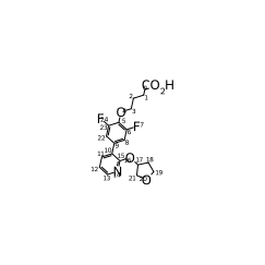 O=C(O)CCCOc1c(F)cc(-c2cccnc2OC2CCOC2)cc1F